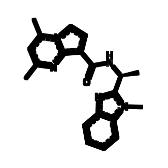 Cc1cc(C)n2ccc(C(=O)N[C@@H](C)c3nc4ccccc4n3C)c2n1